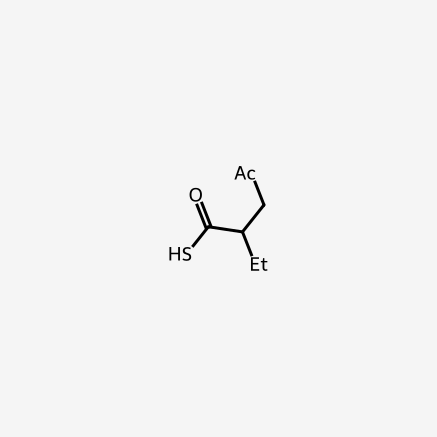 CCC(CC(C)=O)C(=O)S